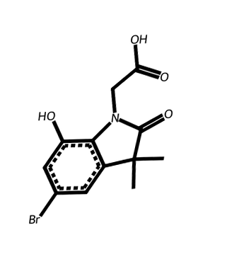 CC1(C)C(=O)N(CC(=O)O)c2c(O)cc(Br)cc21